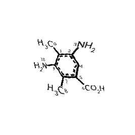 Cc1c(N)cc(C(=O)O)c(C)c1N